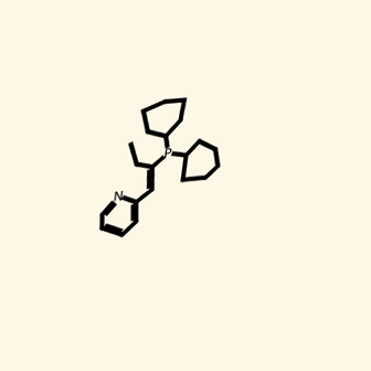 CCC(=Cc1ccccn1)P(C1CCCCC1)C1CCCCC1